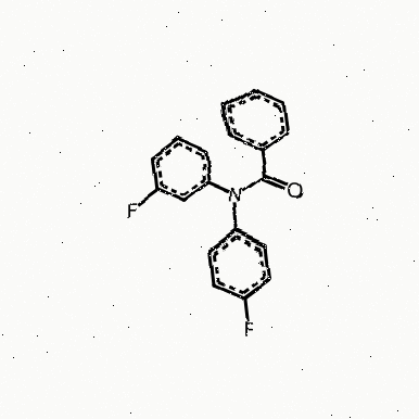 O=C(c1ccccc1)N(c1ccc(F)cc1)c1cccc(F)c1